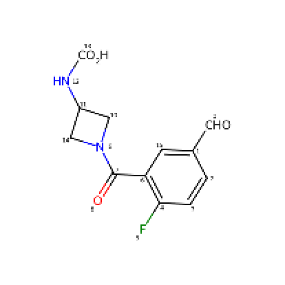 O=Cc1ccc(F)c(C(=O)N2CC(NC(=O)O)C2)c1